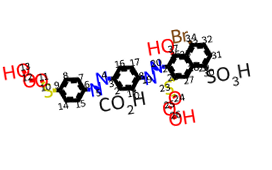 O=C(O)c1cc(/N=N/c2ccc(SOOO)cc2)ccc1/N=N/c1c(SOOO)cc2c(S(=O)(=O)O)ccc(Br)c2c1O